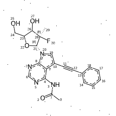 CC(=O)Nc1ncnc2c1c(C#Cc1ccccc1)cn2[C@@H]1OC(CO)C(O)[C@@]1(C)F